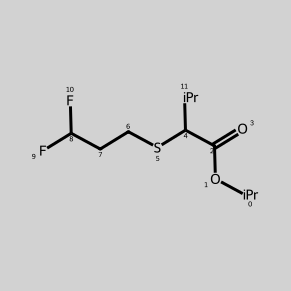 CC(C)OC(=O)C(SCCC(F)F)C(C)C